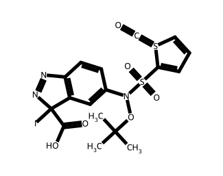 CC(C)(C)ON(c1ccc2c(c1)C(I)(C(=O)O)N=N2)S(=O)(=O)C1=CC=CS1=C=O